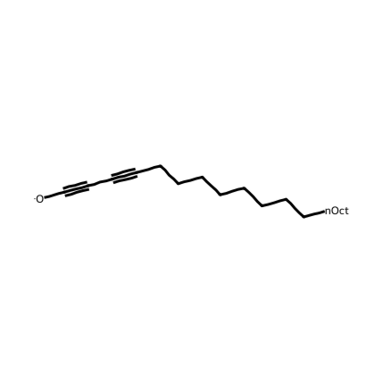 CCCCCCCCCCCCCCCCC#CC#C[O]